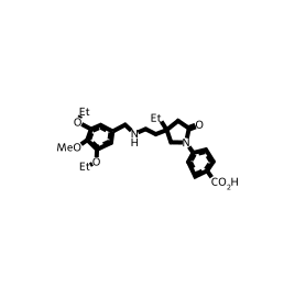 CCOc1cc(CNCCC2(CC)CC(=O)N(c3ccc(C(=O)O)cc3)C2)cc(OCC)c1OC